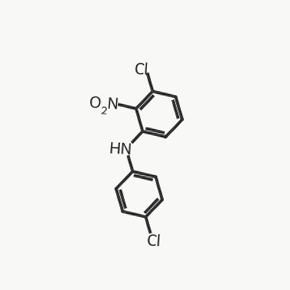 O=[N+]([O-])c1c(Cl)cccc1Nc1ccc(Cl)cc1